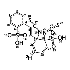 [2H]C1=CC(C=Cc2ccccc2S(=O)(=O)O)(N=C=S)C(N=C=S)(S(=O)(=O)O)C=C1